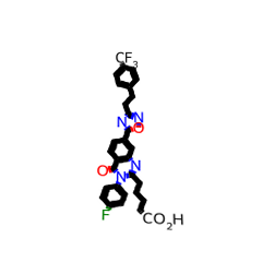 O=C(O)CCCCc1nc2cc(-c3nc(CCc4ccc(C(F)(F)F)cc4)no3)ccc2c(=O)n1-c1ccc(F)cc1